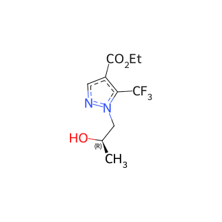 CCOC(=O)c1cnn(C[C@@H](C)O)c1C(F)(F)F